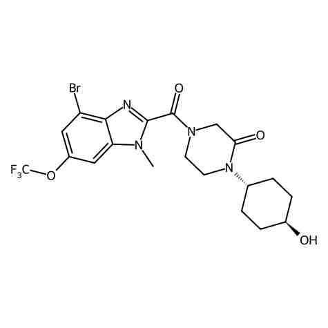 Cn1c(C(=O)N2CCN([C@H]3CC[C@H](O)CC3)C(=O)C2)nc2c(Br)cc(OC(F)(F)F)cc21